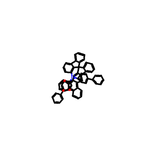 c1ccc(-c2ccc(N(c3ccc(-c4ccccc4)cc3)c3cccc4c3C3(c5ccccc5-c5cc6c7ccccc7c7ccccc7c6cc53)c3ccccc3-4)cc2)cc1